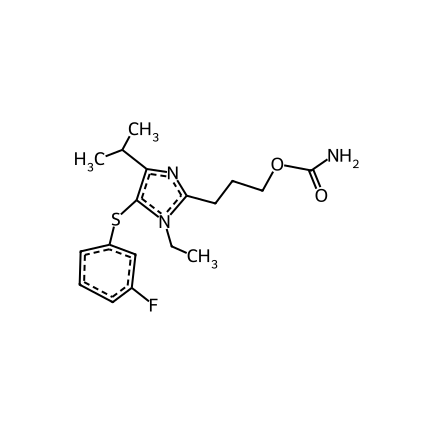 CCn1c(CCCOC(N)=O)nc(C(C)C)c1Sc1cccc(F)c1